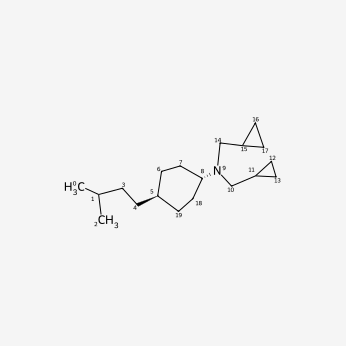 CC(C)CC[C@H]1CC[C@H](N(CC2CC2)CC2CC2)CC1